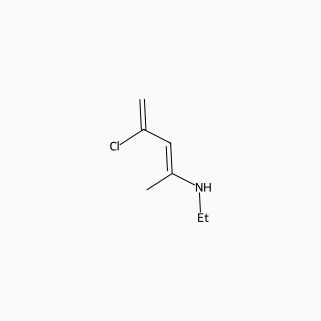 C=C(Cl)/C=C(\C)NCC